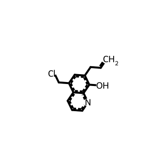 C=CCc1cc(CCl)c2cccnc2c1O